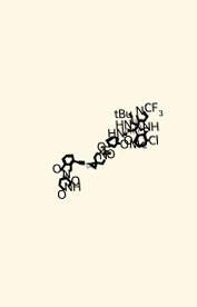 COc1cc(S(=O)(=O)N2CCC3(CC2)C[C@@H]3C#Cc2cccc3c2CN([C@H]2CCC(=O)NC2=O)C3=O)ccc1NC(=O)[C@@H]1N[C@@H](CC(C)(C)C)[C@@]2(CNc3cc(C(F)(F)F)ncc32)[C@H]1c1cccc(Cl)c1F